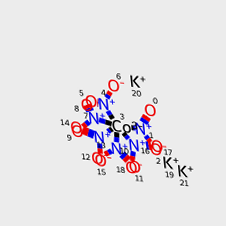 O=[N+]([O-])[Co-3]([N+](=O)[O-])([N+](=O)[O-])([N+](=O)[O-])([N+](=O)[O-])[N+](=O)[O-].[K+].[K+].[K+]